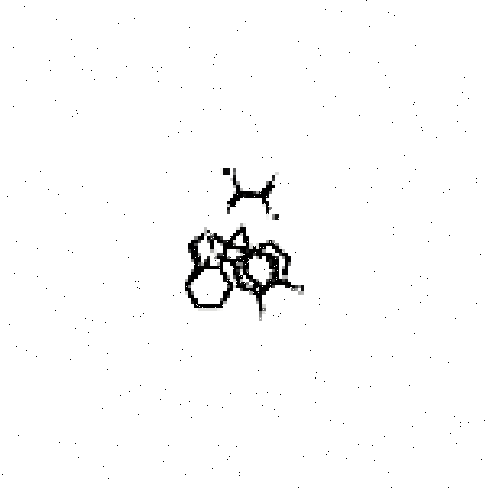 Clc1ccc(N2C3CCCC4C3=CN2C42C[N+]23CCOCC3)cc1Cl.O=C(O)C(=O)O